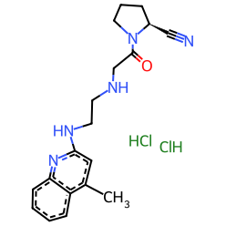 Cc1cc(NCCNCC(=O)N2CCC[C@H]2C#N)nc2ccccc12.Cl.Cl